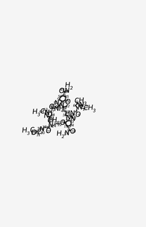 CCn1nc(C)cc1C(=O)Nc1nc2cc(C(N)=O)cc(OCCCNC(=O)CN3CC[C@@H](OC)C3)c2n1CCC[C@H]1COc2cc(C(N)=O)cc3nc(NC(=O)c4cc(C)nn4CC)n1c23